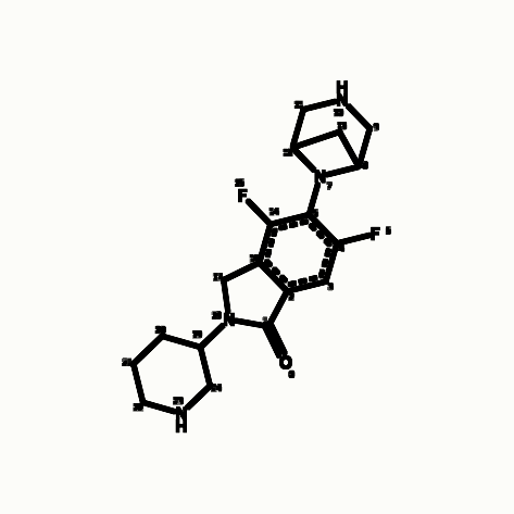 O=C1c2cc(F)c(N3C4CNCC3C4)c(F)c2CN1C1CCCNC1